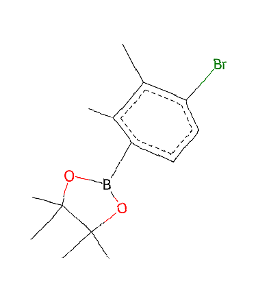 Cc1c(Br)ccc(B2OC(C)(C)C(C)(C)O2)c1C